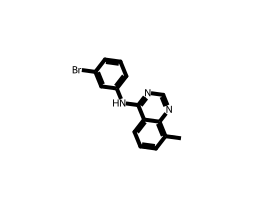 Cc1cccc2c(Nc3cccc(Br)c3)ncnc12